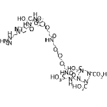 Cc1cc(OCCCC(=O)NCCCOCCOCCOCCCNC(=O)[C@@H](CS(=O)(=O)O)NC(=O)CN2CCN(CC(=O)O)CCN(CC(=O)O)CCN(C(=O)O)CC2)cc(C)c1S(=O)(=O)N[C@@H](CNC(=O)c1ccc2c(cnn2CCCNc2ncc[nH]2)c1)C(=O)O